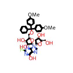 COc1ccc(C(OC[C@H]2O[C@@H]([N+]3([C@@H]4C[C@H](O)[C@@H](CO)O4)C=Nc4c(O)nc(F)nc43)[C@H](O)[C@@H]2O)(c2ccccc2)c2ccc(OC)cc2)cc1